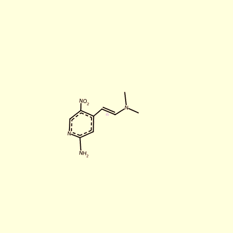 CN(C)/C=C/c1cc(N)ncc1[N+](=O)[O-]